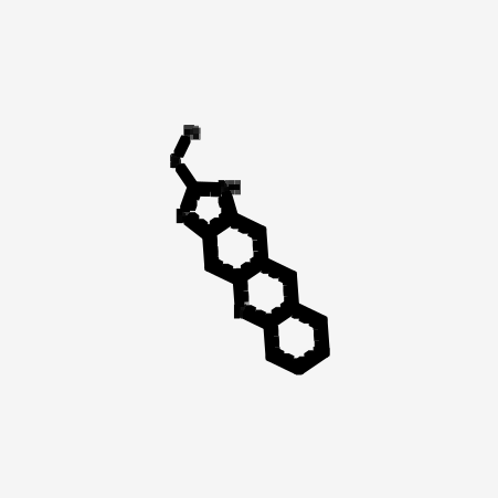 CCSc1nc2cc3nc4ccccc4cc3cc2[nH]1